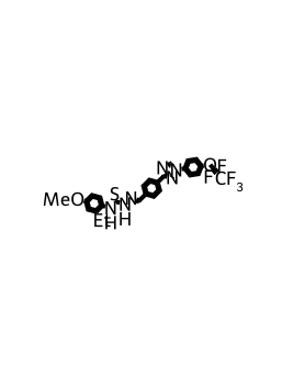 CCc1cc(OC)ccc1NC(=S)N/N=C/c1ccc(-c2ncn(-c3ccc(OC(F)(F)C(F)(F)F)cc3)n2)cc1